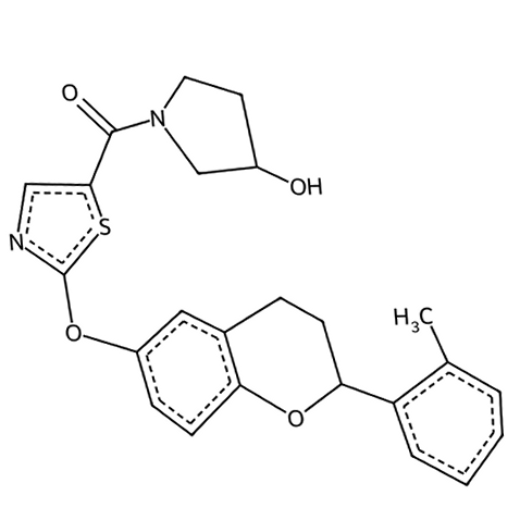 Cc1ccccc1C1CCc2cc(Oc3ncc(C(=O)N4CCC(O)C4)s3)ccc2O1